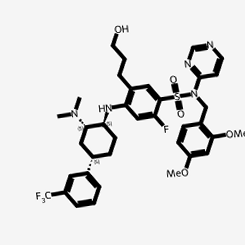 COc1ccc(CN(c2ccncn2)S(=O)(=O)c2cc(CCCO)c(N[C@H]3CC[C@H](c4cccc(C(F)(F)F)c4)C[C@@H]3N(C)C)cc2F)c(OC)c1